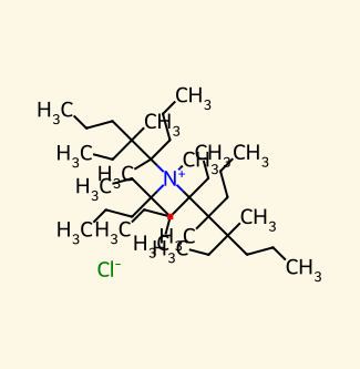 CCCC(C)(CC)C(C)(CCC)C(CC)(CCC)[N+](C)(C(CC)(CC)CCC)C(C)(CCC)C(C)(CC)CCC.[Cl-]